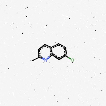 [CH2]c1ccc2ccc(Cl)cc2n1